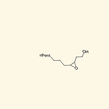 CCCCCCCCC1OC1CCO